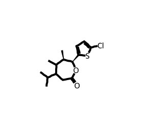 CC(C)C1CC(=O)O[C@H](c2ccc(Cl)s2)[C@H](C)C1C